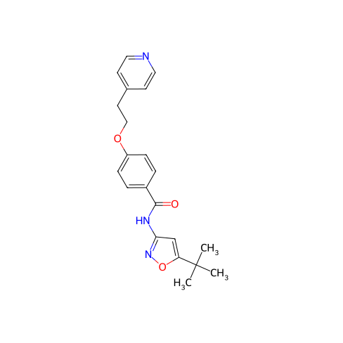 CC(C)(C)c1cc(NC(=O)c2ccc(OCCc3ccncc3)cc2)no1